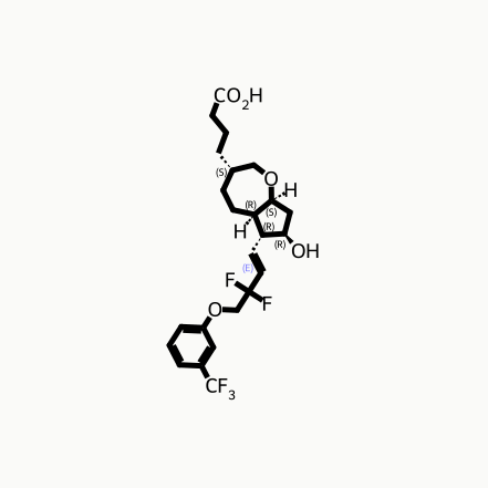 O=C(O)CCC[C@H]1CC[C@@H]2[C@@H](/C=C/C(F)(F)COc3cccc(C(F)(F)F)c3)[C@H](O)C[C@@H]2OC1